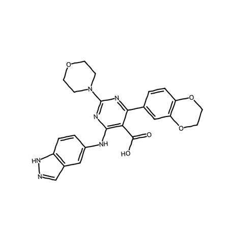 O=C(O)c1c(Nc2ccc3[nH]ncc3c2)nc(N2CCOCC2)nc1-c1ccc2c(c1)OCCO2